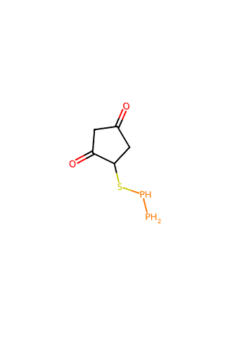 O=C1CC(=O)C(SPP)C1